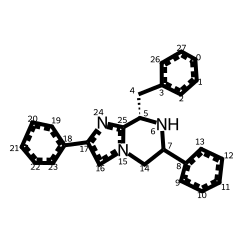 c1ccc(C[C@@H]2NC(c3ccccc3)Cn3cc(-c4ccccc4)nc32)cc1